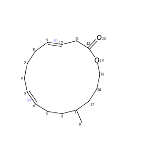 CC1CC/C=C\CCC/C=C/CC(=O)OCCC1